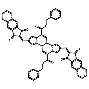 O=C(OCc1ccccc1)C1=CC2c3sc(C=C4C(=O)c5cc6ccccc6cc5C4=O)cc3C(C(=O)OCc3ccccc3)=CC2c2sc(C=C3C(=O)c4cc5ccccc5cc4C3=O)cc21